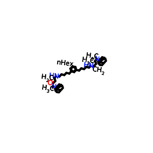 C=C(CC(=C)N(C)C12CC3CC(CC(C3)C1)C2)NCCCCCc1cc(CCCCCC)cc(CCCCCNC(=C)CC(=O)N(C)C23CC4CC(CC(C4)C2)C3)c1